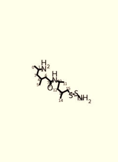 CC(N)CC(C)CC(=O)NC(C)CC(C)CSSN